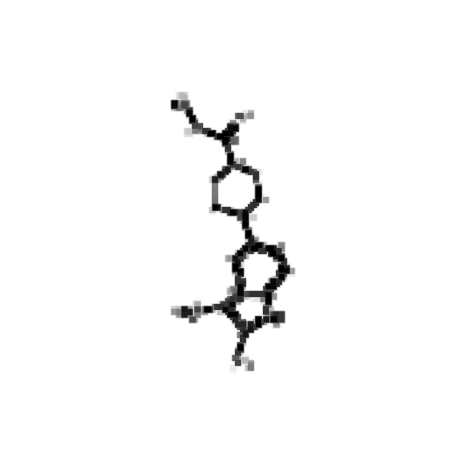 CCOC(=O)c1c(N)[nH]c2ccc(N3CCN(C(=O)OC(C)(C)C)CC3)cc12